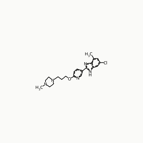 Cc1cc(Cl)cc2[nH]c(-c3ccc(OCCCN4CCN(C)CC4)nc3)nc12